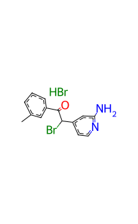 Br.Cc1cccc(C(=O)C(Br)c2ccnc(N)c2)c1